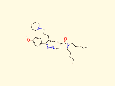 CCCCCN(CCCCC)C(=O)c1ccn2nc(-c3ccc(OC)cc3)c(CCCN3CCCCC3)c2c1